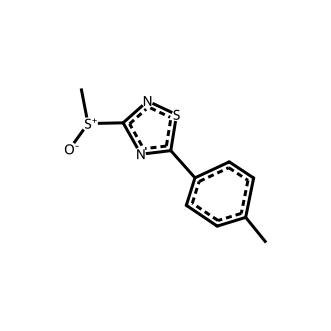 Cc1ccc(-c2nc([S+](C)[O-])ns2)cc1